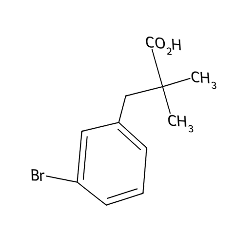 CC(C)(Cc1cccc(Br)c1)C(=O)O